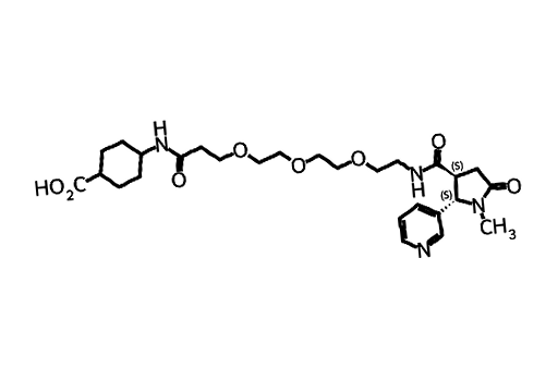 CN1C(=O)C[C@H](C(=O)NCCOCCOCCOCCC(=O)NC2CCC(C(=O)O)CC2)[C@H]1c1cccnc1